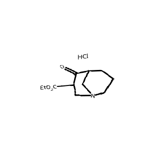 CCOC(=O)C1CN2CCCC(C2)C1=O.Cl